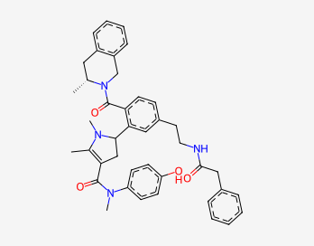 CC1=C(C(=O)N(C)c2ccc(O)cc2)CC(c2cc(CCNC(=O)Cc3ccccc3)ccc2C(=O)N2Cc3ccccc3C[C@H]2C)N1C